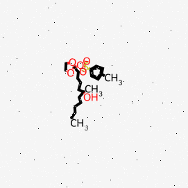 CCCCCCC(C)(O)CCCCC1(OS(=O)(=O)c2ccc(C)cc2)OCCO1